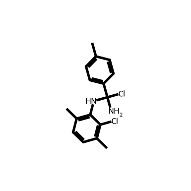 Cc1ccc(C(N)(Cl)Nc2c(C)ccc(C)c2Cl)cc1